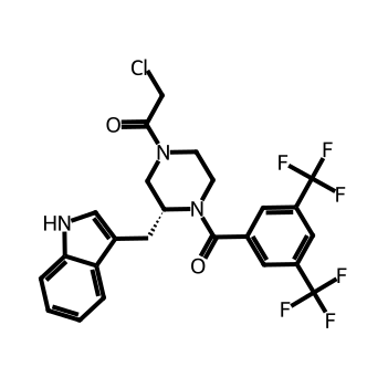 O=C(CCl)N1CCN(C(=O)c2cc(C(F)(F)F)cc(C(F)(F)F)c2)[C@H](Cc2c[nH]c3ccccc23)C1